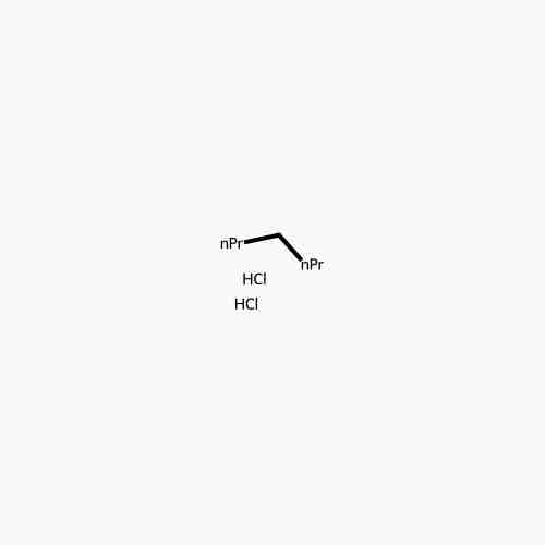 CCCCCCC.Cl.Cl